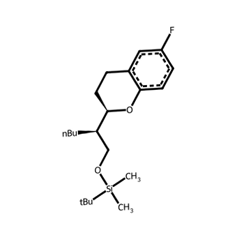 CCCC[C@H](CO[Si](C)(C)C(C)(C)C)[C@H]1CCc2cc(F)ccc2O1